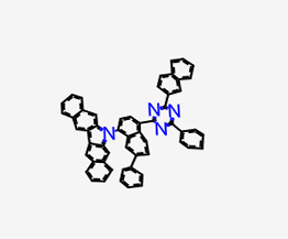 c1ccc(-c2ccc3c(-c4nc(-c5ccccc5)nc(-c5ccc6ccccc6c5)n4)ccc(-n4c5cc6ccccc6cc5c5cc6ccccc6cc54)c3c2)cc1